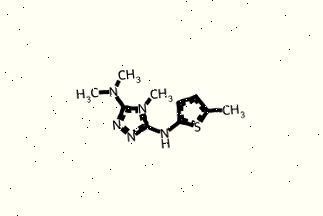 Cc1ccc(Nc2nnc(N(C)C)n2C)s1